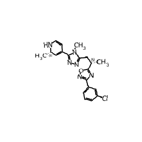 C[C@H]1C=C(c2nnc(C[C@H](C)c3nc(-c4cccc(Cl)c4)no3)n2C)C=CN1